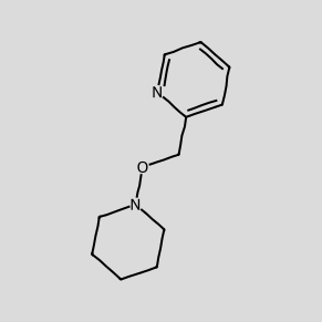 c1ccc(CON2CCCCC2)nc1